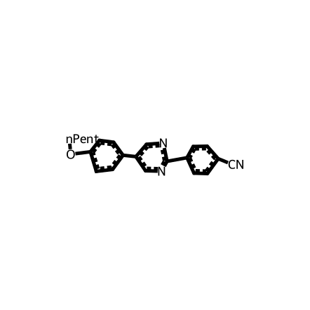 CCCCCOc1ccc(-c2cnc(-c3ccc(C#N)cc3)nc2)cc1